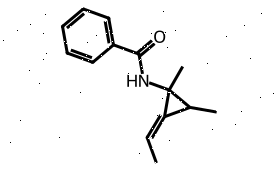 C/C=C1\C(C)C1(C)NC(=O)c1ccccc1